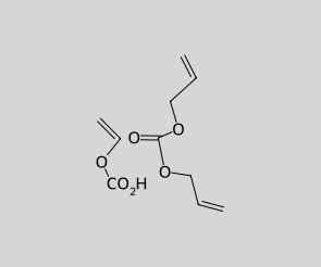 C=CCOC(=O)OCC=C.C=COC(=O)O